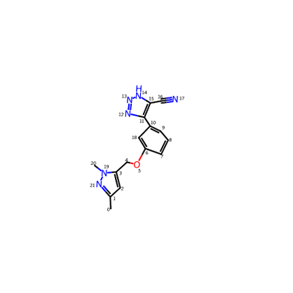 Cc1cc(COc2cccc(-c3nn[nH]c3C#N)c2)n(C)n1